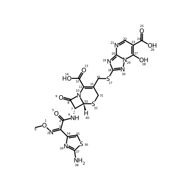 CO/N=C(\C(=O)N[C@@H]1C(=O)N2C(C(=O)O)=C(CSc3nc4ncc(C(=O)O)c(O)n4n3)CS[C@H]12)c1csc(N)n1